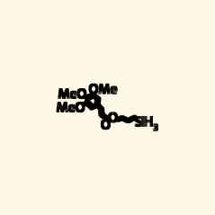 COc1cc(C=CC(=O)OCCCC[SiH3])cc(OC)c1OC